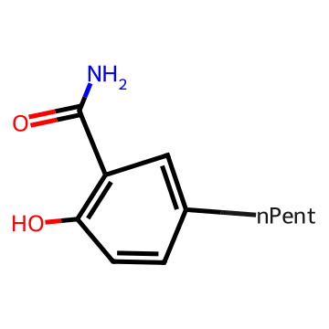 CCCCCc1ccc(O)c(C(N)=O)c1